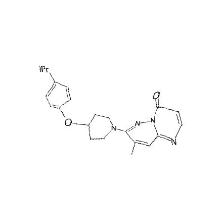 Cc1cc2nccc(=O)n2nc1N1CCC(Oc2ccc(C(C)C)cc2)CC1